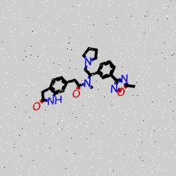 Cc1nc(-c2cccc(C(CN3CCCC3)N(C)C(=O)Cc3ccc4c(c3)NC(=O)C4)c2)no1